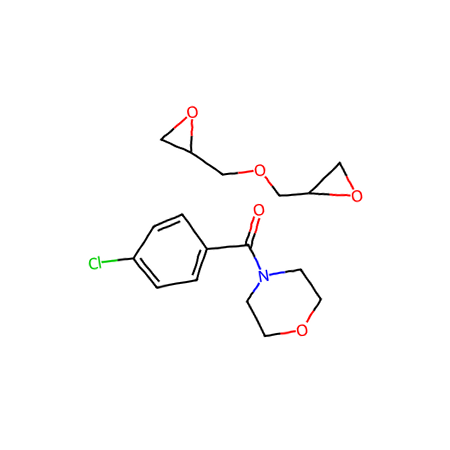 C(OCC1CO1)C1CO1.O=C(c1ccc(Cl)cc1)N1CCOCC1